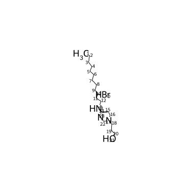 Br.CCCCCCCCCCCCNC1=CCN(CCCO)C=N1